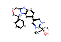 CC(C)(O)c1ncc(-c2ccc3nc4n(c3c2)C(c2ccccc2)COC4)cn1